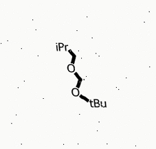 CC(C)CO[CH]OC(C)(C)C